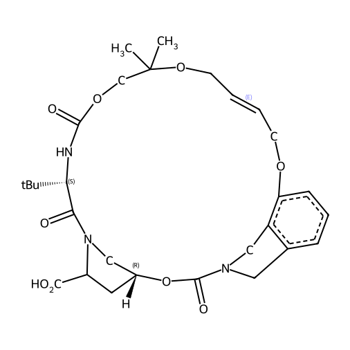 CC1(C)COC(=O)N[C@@H](C(C)(C)C)C(=O)N2C[C@@H](CC2C(=O)O)OC(=O)N2Cc3cccc(c3C2)OC/C=C/CO1